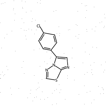 Clc1ccc(-c2cnc3s[c]nn23)cc1